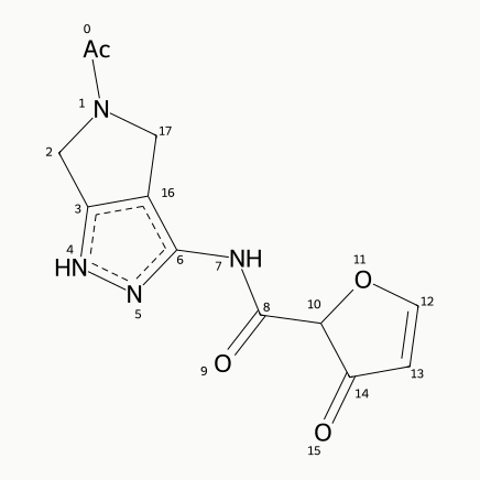 CC(=O)N1Cc2[nH]nc(NC(=O)C3OC=CC3=O)c2C1